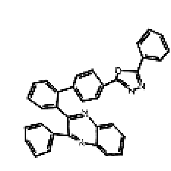 c1ccc(-c2nnc(-c3ccc(-c4ccccc4-c4nc5ccccc5nc4-c4ccccc4)cc3)o2)cc1